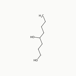 CCCCC(O)CC[CH]O